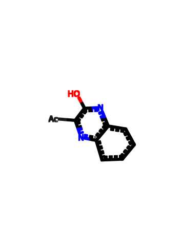 CC(=O)c1nc2ccccc2nc1O